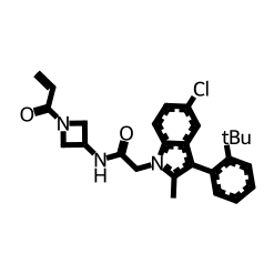 C=CC(=O)N1CC(NC(=O)Cn2c(C)c(-c3ccccc3C(C)(C)C)c3cc(Cl)ccc32)C1